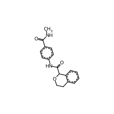 CNC(=O)c1ccc(NC(=O)C2OCCc3ccccc32)cc1